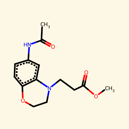 COC(=O)CCN1CCOc2ccc(NC(C)=O)cc21